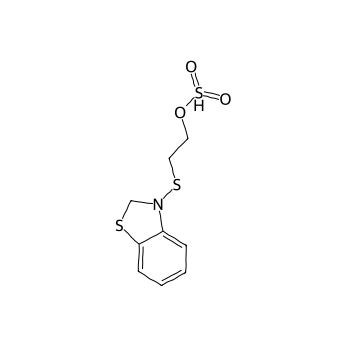 O=[SH](=O)OCCSN1CSc2ccccc21